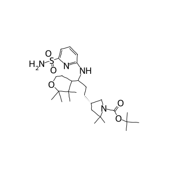 CC(C)(C)OC(=O)N1C[C@@H](CCC(Nc2cccc(S(N)(=O)=O)n2)C2CCOC(C)(C)C2(C)C)CC1(C)C